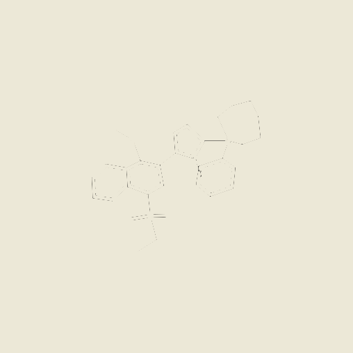 CCS(=O)(=O)c1cc(-c2ccc([N+]3(c4ccccc4)CCCCCC3)n2C)c(OC)c2ccccc12